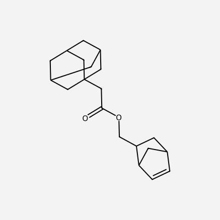 O=C(CC12CC3CC(CC(C3)C1)C2)OCC1CC2C=CC1C2